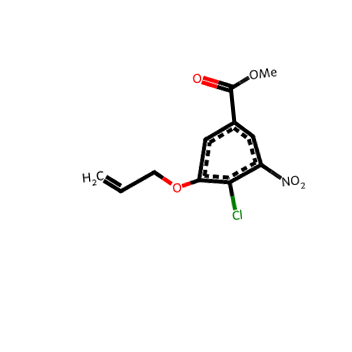 C=CCOc1cc(C(=O)OC)cc([N+](=O)[O-])c1Cl